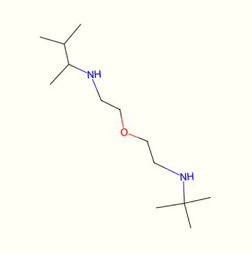 CC(C)C(C)NCCOCCNC(C)(C)C